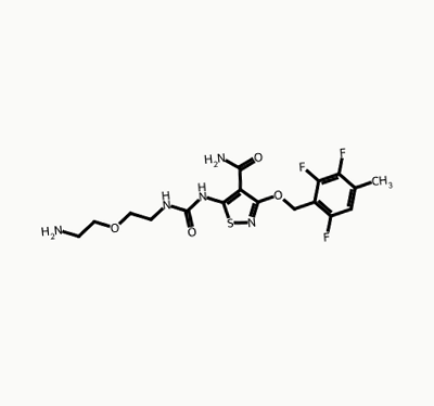 Cc1cc(F)c(COc2nsc(NC(=O)NCCOCCN)c2C(N)=O)c(F)c1F